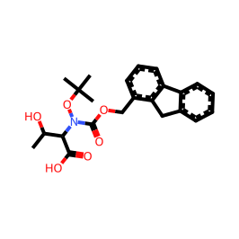 CC(O)C(C(=O)O)N(OC(C)(C)C)C(=O)OCc1cccc2c1Cc1ccccc1-2